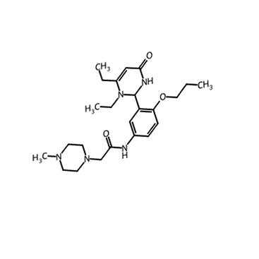 CCCOc1ccc(NC(=O)CN2CCN(C)CC2)cc1C1NC(=O)C=C(CC)N1CC